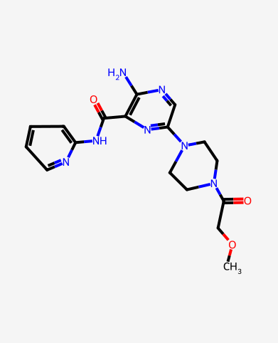 COCC(=O)N1CCN(c2cnc(N)c(C(=O)Nc3ccccn3)n2)CC1